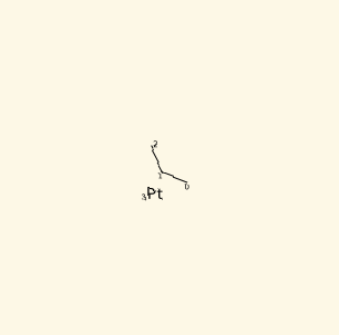 CCC.[Pt]